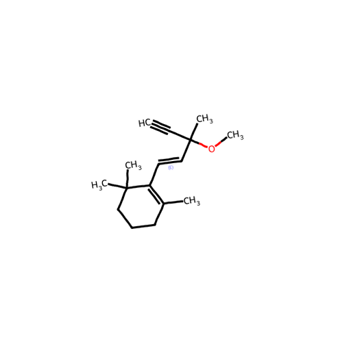 C#CC(C)(/C=C/C1=C(C)CCCC1(C)C)OC